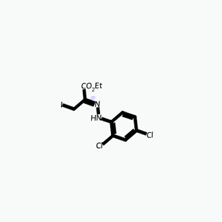 CCOC(=O)/C(CI)=N/Nc1ccc(Cl)cc1Cl